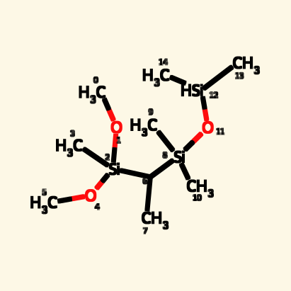 CO[Si](C)(OC)C(C)[Si](C)(C)O[SiH](C)C